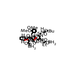 BOC(=O)C1=C(C[N@+]2(C)[C@@H]3CC[C@H]2C[C@@H](NC(=O)c2cc(=O)c(OP)cn2Cc2ccc(OC)cc2OC)C3)CS[C@@H]2[C@H](NC(=O)/C(=N\O[C@@H](CC)C(=O)OB)c3csc(NC(=O)OC(C)(C)C)n3)C(=O)N12